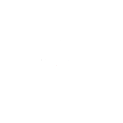 CCOC(=O)c1c(NC(=O)c2cccc(Br)c2)sc2c1CCCC2